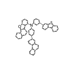 c1cc(-c2ccc3c(c2)sc2ccccc23)cc(N(c2ccc(-c3ccc4c(ccc5ccccc54)c3)cc2)c2cccc3oc4c5ccccc5ccc4c23)c1